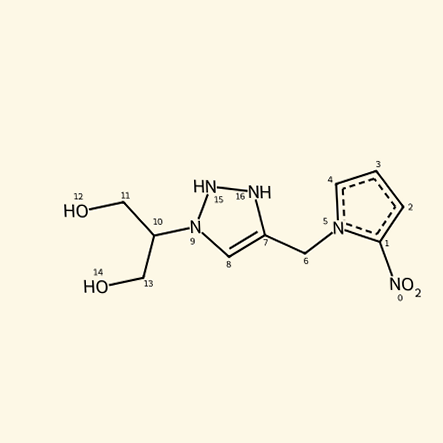 O=[N+]([O-])c1cccn1CC1=CN(C(CO)CO)NN1